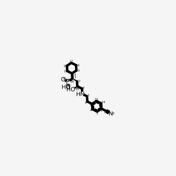 N#Cc1ccc(CCNC[C@@H](O)C[C@H](C2CCCCC2)[PH](=O)O)cc1